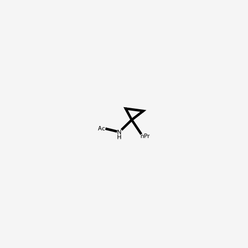 CCCC1(NC(C)=O)CC1